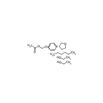 C1CCOC1.CCCCCC.CCO.CCO.CCOC(C)=O.c1ccncc1